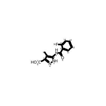 Cc1c(C(=O)O)n[nH]c1NC(=O)c1ccccc1F